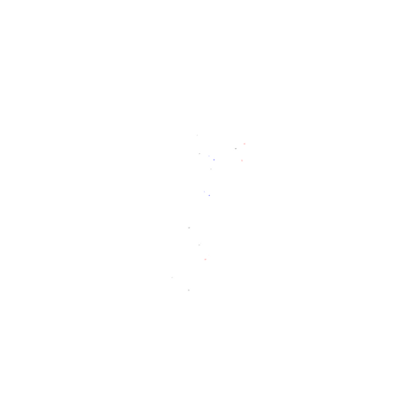 O=C(NCC(=O)N1C(=O)CC[C@H]1C(=O)O)c1ccc(Oc2ccccc2)cc1